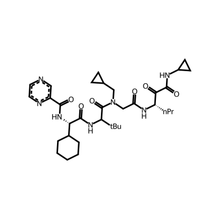 CCC[C@H](NC(=O)CN(CC1CC1)C(=O)C(NC(=O)[C@@H](NC(=O)c1cnccn1)C1CCCCC1)C(C)(C)C)C(=O)C(=O)NC1CC1